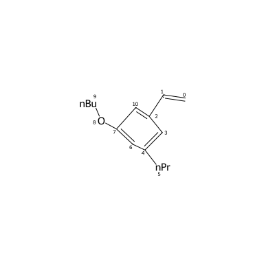 C=[C]c1cc(CCC)cc(OCCCC)c1